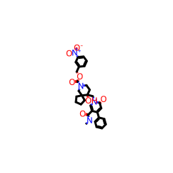 CN(C)C(=O)c1cn(CC2(O)CCN(C(=O)OCc3cccc([N+](=O)[O-])c3)CC23CCCC3)c(=O)cc1-c1ccccc1